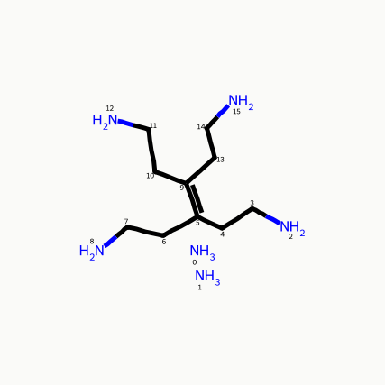 N.N.NCCC(CCN)=C(CCN)CCN